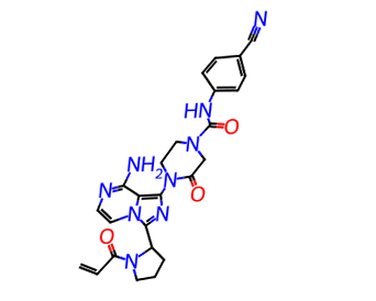 C=CC(=O)N1CCCC1c1nc(N2CCN(C(=O)Nc3ccc(C#N)cc3)CC2=O)c2c(N)nccn12